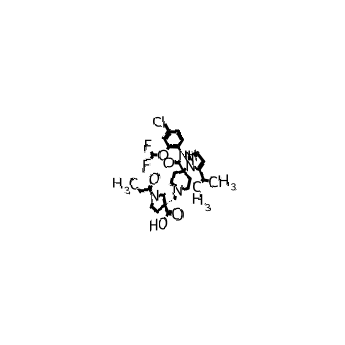 CCC(=O)N1CC[C@](CN2CCC(C(=O)Nc3ccc(Cl)cc3OC(F)F)(n3nccc3C(C)C)CC2)(C(=O)O)C1